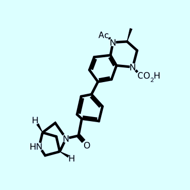 CC(=O)N1c2ccc(-c3ccc(C(=O)N4C[C@@H]5C[C@H]4CN5)cc3)cc2N(C(=O)O)C[C@@H]1C